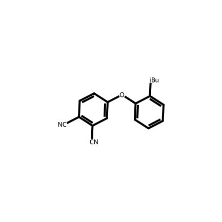 CCC(C)c1ccccc1Oc1ccc(C#N)c(C#N)c1